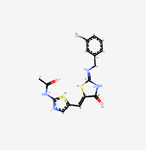 CC(=O)Nc1ncc(C=C2SC(=NCc3cccc(Cl)c3)NC2=O)s1